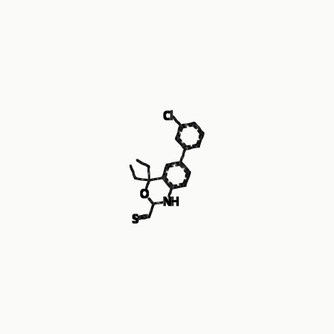 CCC1(CC)OC(C=S)Nc2ccc(-c3cccc(Cl)c3)cc21